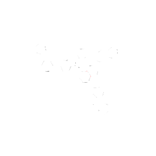 CC1(C)c2ccccc2-c2ccc(-c3ccc(N(c4ccc(-c5cccc6c5C(C)(C)c5ccccc5-6)cc4)c4ccccc4-c4cccc5sc6c7ccccc7ccc6c45)cc3)cc21